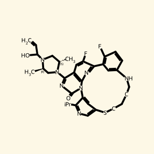 C=CC(O)N1C[C@H](C)N(c2nc(=O)n3c4nc(c(F)cc24)-c2cc(ccc2F)NCCCCSc2cnc(C(C)C)c-3c2)C[C@H]1C